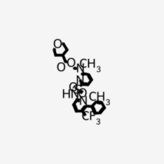 Cc1ccccc1-c1nc(NS(=O)(=O)c2cccc(N(C)COC(=O)C3CCOCC3)n2)ccc1C(F)(F)F